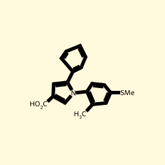 CSc1ccc(-n2cc(C(=O)O)cc2-c2ccccc2)c(C)c1